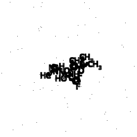 C#Cc1nccc(CNC[C@@H](O)[C@H](Cc2cc(F)cc(F)c2)NC(=O)c2cc(C)cc(C(=O)N(CCC)CCC)c2)n1